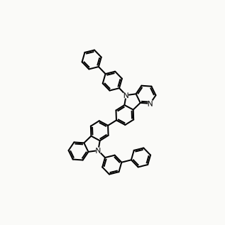 c1ccc(-c2ccc(-n3c4cc(-c5ccc6c7ccccc7n(-c7cccc(-c8ccccc8)c7)c6c5)ccc4c4ncccc43)cc2)cc1